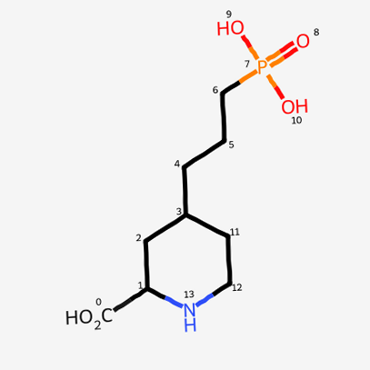 O=C(O)C1CC(CCCP(=O)(O)O)CCN1